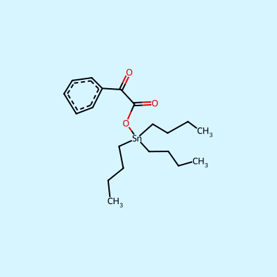 CCC[CH2][Sn]([CH2]CCC)([CH2]CCC)[O]C(=O)C(=O)c1ccccc1